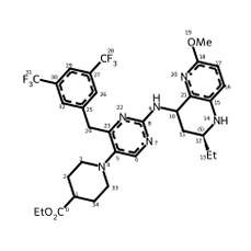 CCOC(=O)C1CCN(c2cnc(NC3C[C@H](CC)Nc4ccc(OC)nc43)nc2Cc2cc(C(F)(F)F)cc(C(F)(F)F)c2)CC1